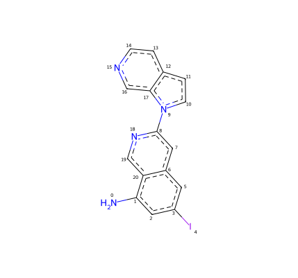 Nc1cc(I)cc2cc(-n3ccc4ccncc43)ncc12